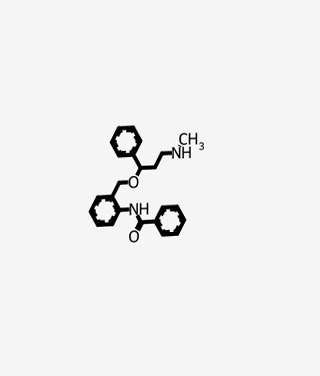 CNCCC(OCc1ccccc1NC(=O)c1ccccc1)c1ccccc1